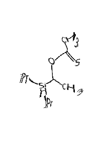 CC(=S)OC(C)[SiH](C(C)C)C(C)C